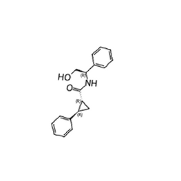 O=C(N[C@@H](CO)c1ccccc1)[C@@H]1C[C@H]1c1ccccc1